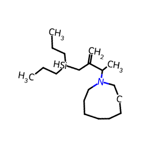 C=C(C[SiH](CCC)CCC)C(C)N1CCCCCCCC1